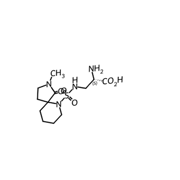 CN1CCC2(CCCCN2S(=O)(=O)NC[C@H](N)C(=O)O)C1=O